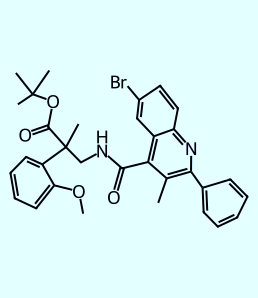 COc1ccccc1C(C)(CNC(=O)c1c(C)c(-c2ccccc2)nc2ccc(Br)cc12)C(=O)OC(C)(C)C